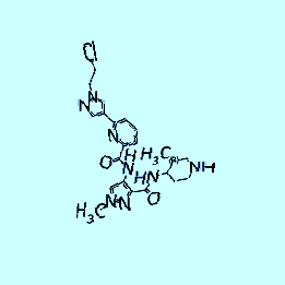 C[C@@H]1CNCCC1NC(=O)c1nn(C)cc1NC(=O)c1cccc(-c2cnn(CCCl)c2)n1